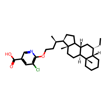 CC[C@H]1C[C@H]2C3CC[C@H]([C@H](C)CCOc4ncc(C(=O)O)cc4Cl)[C@@]3(C)CC[C@@H]2[C@@]2(C)CCCC[C@@H]12